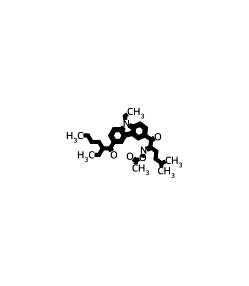 CCCCC(CC)C(=O)c1ccc2c(c1)c1cc(C(=O)C(CCC(C)C)=NOC(C)=O)ccc1n2CC